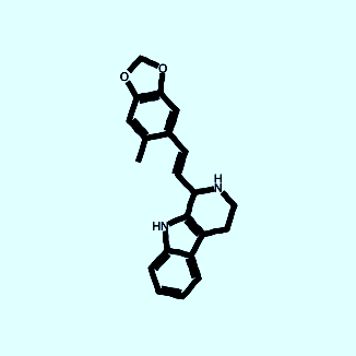 Cc1cc2c(cc1/C=C/C1NCCc3c1[nH]c1ccccc31)OCO2